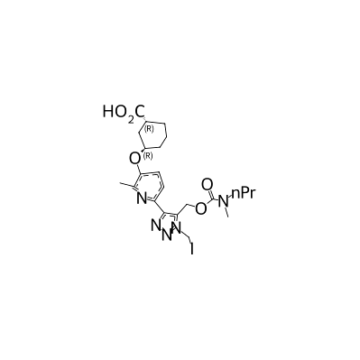 CCCN(C)C(=O)OCc1c(-c2ccc(O[C@@H]3CCC[C@@H](C(=O)O)C3)c(C)n2)nnn1CI